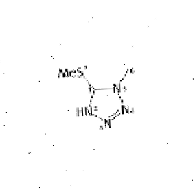 [CH2]SC1NN=NN1C